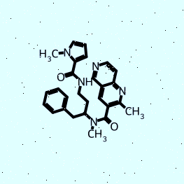 Cc1nc2ccncc2cc1C(=O)N(C)C(CCNC(=O)c1cccn1C)Cc1ccccc1